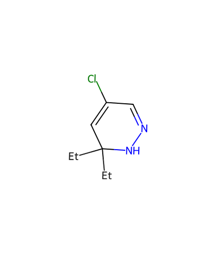 CCC1(CC)C=C(Cl)C=NN1